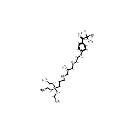 CCO[Si](CCCNCC(O)COCCOc1ccc(C(=O)C(C)(C)O)cc1)(OCC)OCC